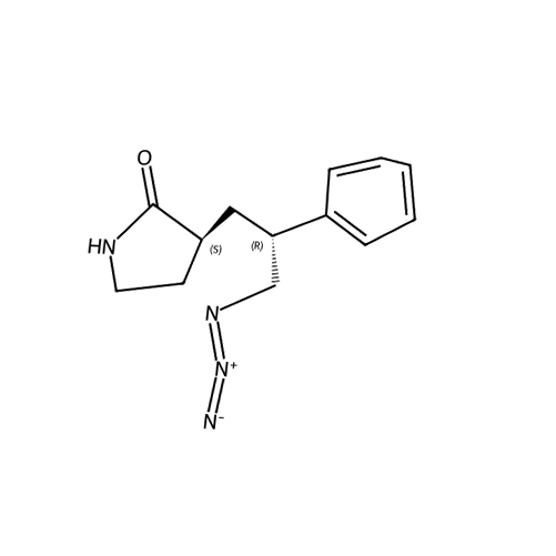 [N-]=[N+]=NC[C@H](C[C@H]1CCNC1=O)c1ccccc1